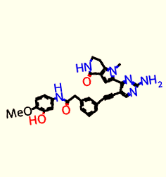 COc1ccc(NC(=O)Cc2cccc(C#Cc3cnc(N)nc3-c3cc4c(n3C)CCNC4=O)c2)cc1O